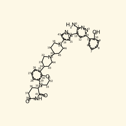 Nc1nnc(-c2ccccc2O)cc1-n1cc(N2CCC(N3CCC(c4cccc5c4OCCN5C4CCC(=O)NC4=O)CC3)CC2)cn1